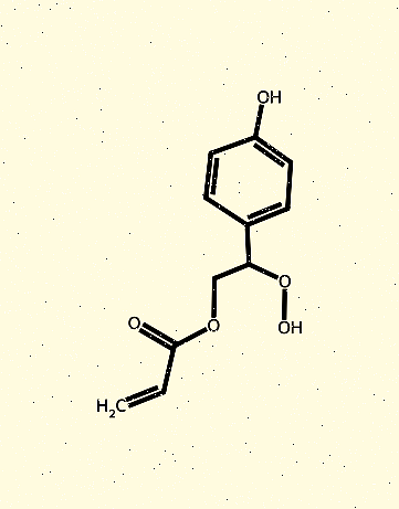 C=CC(=O)OCC(OO)c1ccc(O)cc1